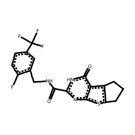 O=C(NCc1cc(C(F)(F)F)ccc1F)c1nc2sc3c(c2c(=O)[nH]1)CCC3